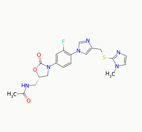 CC(=O)NC[C@H]1CN(c2ccc(-n3cnc(CSc4nccn4C)c3)c(F)c2)C(=O)O1